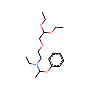 CCOC(COCCN(CC)C(C)Oc1ccccc1)OCC